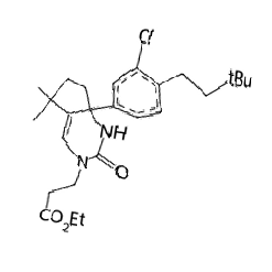 CCOC(=O)CCN1C=C2C(C)(C)CCC2(c2ccc(CCC(C)(C)C)c(Cl)c2)NC1=O